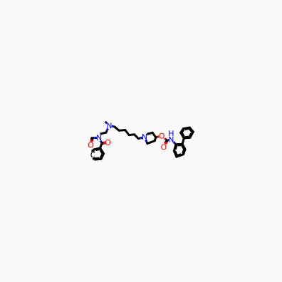 CN(CCCCCCN1CCC(OC(=O)Nc2ccccc2-c2ccccc2)CC1)CCN(C=O)C(=O)c1ccccc1